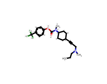 CCCN(C)CC#CC1CCC(N(C)C(=O)Oc2ccc(C(F)(F)F)cc2)CC1